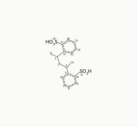 CC(CC(C)c1ccccc1S(=O)(=O)O)c1ccccc1S(=O)(=O)O